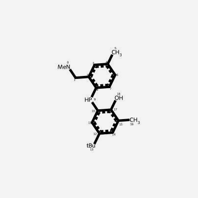 CNCc1cc(C)ccc1Pc1cc(C(C)(C)C)cc(C)c1O